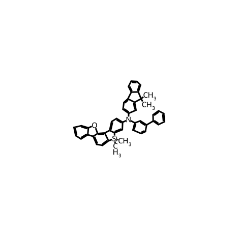 CC1(C)c2ccccc2-c2ccc(N(c3cccc(-c4ccccc4)c3)c3ccc4c(c3)[Si](C)(C)c3ccc5c(oc6ccccc65)c3-4)cc21